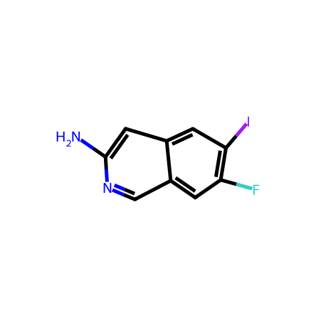 Nc1cc2cc(I)c(F)cc2cn1